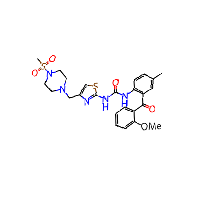 COc1ccccc1C(=O)c1cc(C)ccc1NC(=O)Nc1nc(CN2CCN(S(C)(=O)=O)CC2)cs1